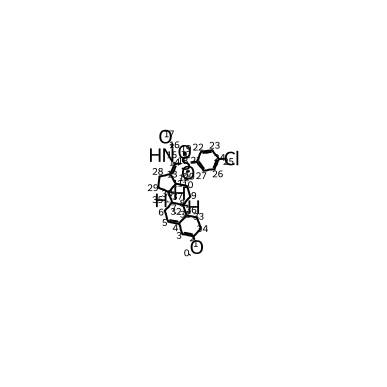 COC1=CC2=CC[C@@H]3[C@H](CC[C@]4(C)/C(=C(/NC=O)S(=O)(=O)c5ccc(Cl)cc5)CC[C@@H]34)[C@@]2(C)CC1